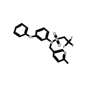 Cc1ccc(CN(c2cccc(Oc3ccccc3)c2)S(=O)(=O)CC(F)(F)F)cn1